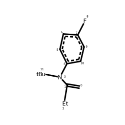 C=C(CC)N(c1ccc(F)cc1)C(C)(C)C